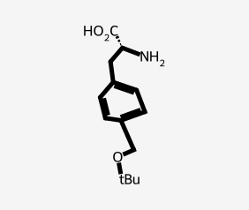 CC(C)(C)OCc1ccc(C[C@@H](N)C(=O)O)cc1